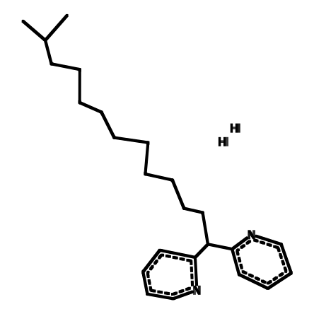 CC(C)CCCCCCCCCCC(c1ccccn1)c1ccccn1.I.I